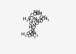 Cc1ccc(N)c(C=N)c1-c1nc(N2CCOC(C)(C)C2)c2c(c1F)OC[C@H]1CN(C(=O)OC(C)(C)C)CCN1C2=O